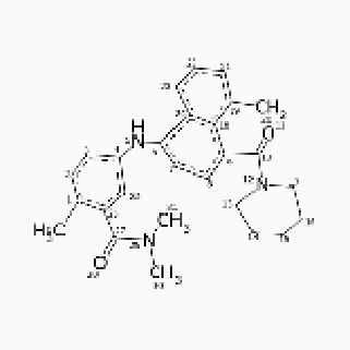 Cc1ccc(Nc2ccc(C(=O)N3CCCCC3)c3c(C)cccc23)cc1C(=O)N(C)C